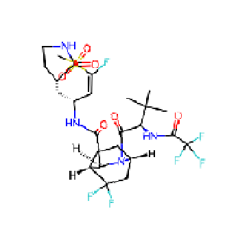 CC(C)(C)[C@@H](NC(=O)C(F)(F)F)C(=O)N1[C@@H]2CC[C@H]([C@H]1C(=O)N[C@@H](/C=C(/F)S(C)(=O)=O)C[C@@H]1CCNC1=O)C(F)(F)C2